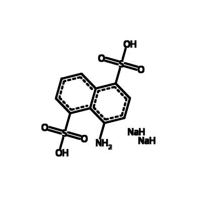 Nc1ccc(S(=O)(=O)O)c2cccc(S(=O)(=O)O)c12.[NaH].[NaH]